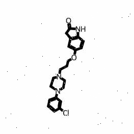 O=C1Cc2cc(OCCCN3CCN(c4cccc(Cl)c4)CC3)ccc2N1